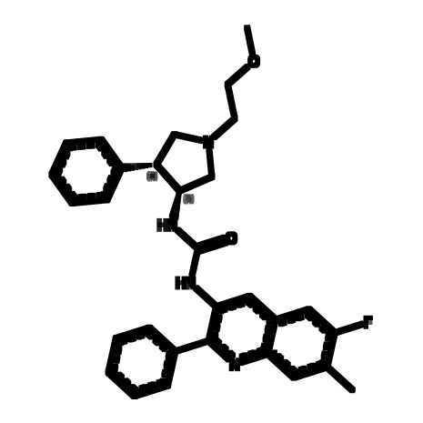 COCCN1C[C@@H](NC(=O)Nc2cc3cc(F)c(C)cc3nc2-c2ccccc2)[C@H](c2ccccc2)C1